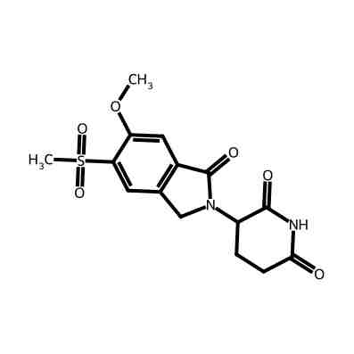 COc1cc2c(cc1S(C)(=O)=O)CN(C1CCC(=O)NC1=O)C2=O